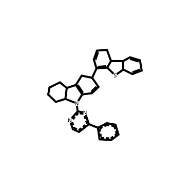 C1=CC2SC3=C(C4C=CC5=C(C4)C4CCCCC4N5c4nccc(-c5ccccc5)n4)C=CCC3C2C=C1